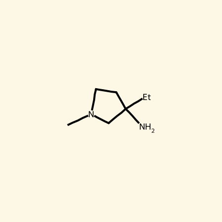 CCC1(N)CCN(C)C1